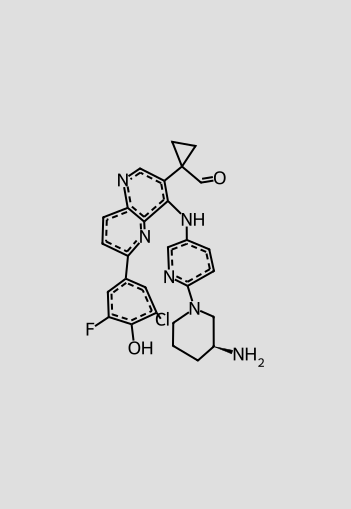 N[C@H]1CCCN(c2ccc(Nc3c(C4(C=O)CC4)cnc4ccc(-c5cc(F)c(O)c(Cl)c5)nc34)cn2)C1